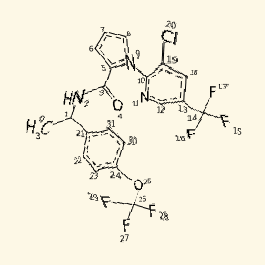 CC(NC(=O)c1cccn1-c1ncc(C(F)(F)F)cc1Cl)c1ccc(OC(F)(F)F)cc1